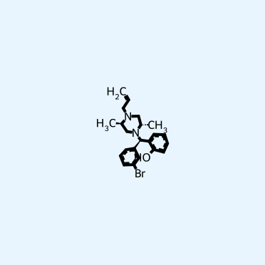 C=CCN1C[C@H](C)N([C@H](c2cccc(Br)c2)c2ccccc2O)C[C@H]1C